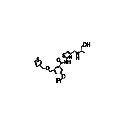 CC(CO)NCc1csc(NC(=O)c2cc(COCc3ccsc3)cc(OC(C)C)c2)n1